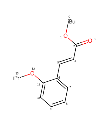 CCC(C)OC(=O)C=Cc1ccccc1OC(C)C